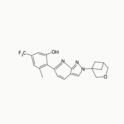 Cc1cc(C(F)(F)F)cc(O)c1-c1ccc2cn(C34COCC(C3)C4)nc2n1